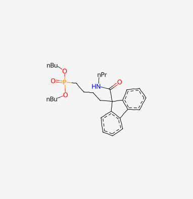 CCCCOP(=O)(CCCCC1(C(=O)NCCC)c2ccccc2-c2ccccc21)OCCCC